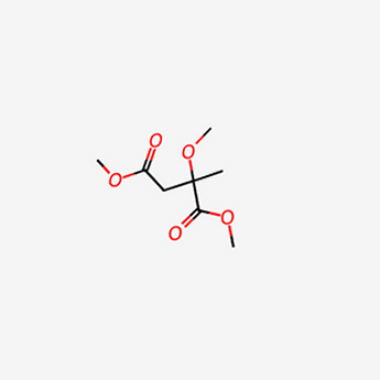 COC(=O)CC(C)(OC)C(=O)OC